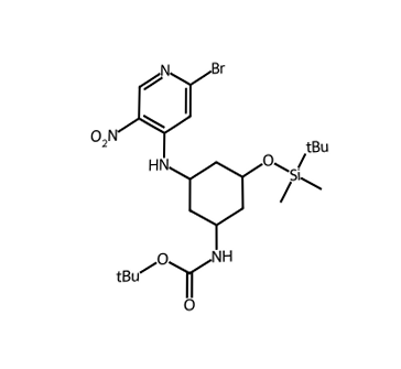 CC(C)(C)OC(=O)NC1CC(Nc2cc(Br)ncc2[N+](=O)[O-])CC(O[Si](C)(C)C(C)(C)C)C1